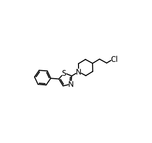 ClCCC1CCN(c2ncc(-c3ccccc3)s2)CC1